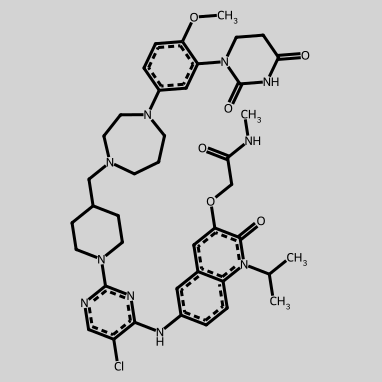 CNC(=O)COc1cc2cc(Nc3nc(N4CCC(CN5CCCN(c6ccc(OC)c(N7CCC(=O)NC7=O)c6)CC5)CC4)ncc3Cl)ccc2n(C(C)C)c1=O